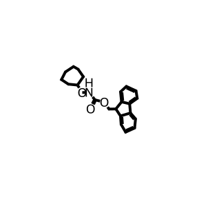 O=C(NOC1CCCCCC1)OCC1c2ccccc2-c2ccccc21